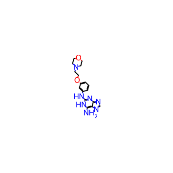 Nc1[nH]c(Nc2cccc(OCCN3CCOCC3)c2)nc2ncnc1-2